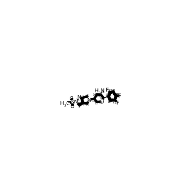 CS(=O)(=O)n1cc2c(n1)CN(C1CO[C@H](c3cc(F)c(F)cc3F)[C@@H](N)C1)C2